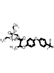 CCOP(=O)(CNC(=O)C(C)Oc1ccc(Oc2ccc(C(F)(F)F)cc2)cc1)OCC